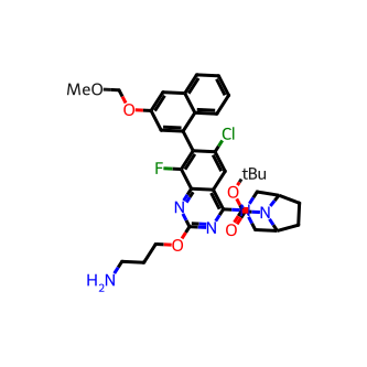 COCOc1cc(-c2c(Cl)cc3c(N4CC5CCC(C4)N5C(=O)OC(C)(C)C)nc(OCCCN)nc3c2F)c2ccccc2c1